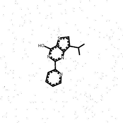 CC(C)c1csc2c(O)nc(-c3ccccn3)nc12